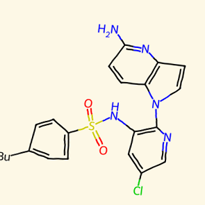 CC(C)(C)c1ccc(S(=O)(=O)Nc2cc(Cl)cnc2-n2ccc3nc(N)ccc32)cc1